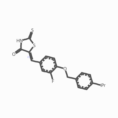 CC(C)c1ccc(COc2ccc(/C=C3\SC(=S)NC3=O)cc2F)cc1